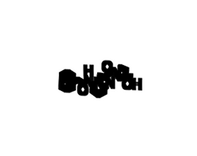 CC1(O)CCN(C(=O)c2cn3c(NC(=O)CC45CC6CC(CC(C6)C4)C5)cccc3n2)C1